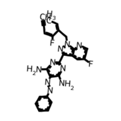 C#C/C=C(F)\C(=C/C)Cn1nc(-c2nc(N)c(/N=N/c3ccccc3)c(N)n2)c2cc(F)cnc21